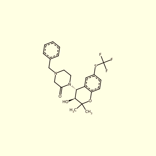 CC1(C)Oc2ccc(SC(F)(F)F)cc2[C@@H](N2CCN(Cc3ccccc3)CC2=O)[C@@H]1O